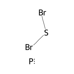 BrSBr.[P]